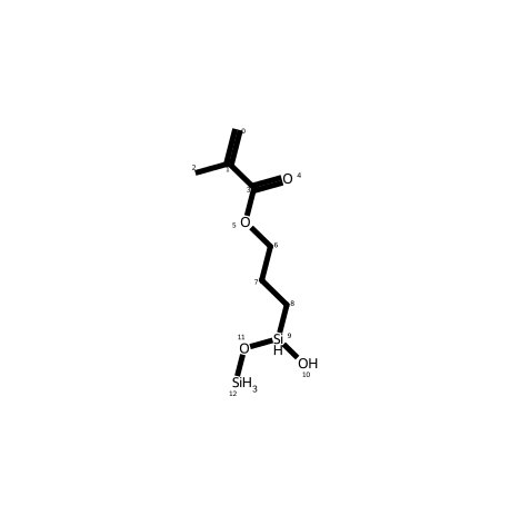 C=C(C)C(=O)OCCC[SiH](O)O[SiH3]